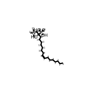 CCCCCCC/C=C\CCCCCCCC(O)(C[N+](C)(C)C)P(=O)(O)O